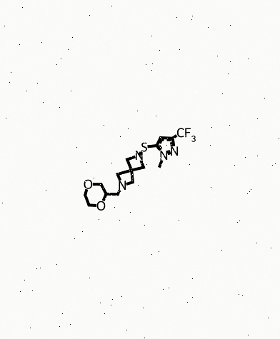 Cn1nc(C(F)(F)F)cc1SN1CC2(CN(CC3COCCO3)C2)C1